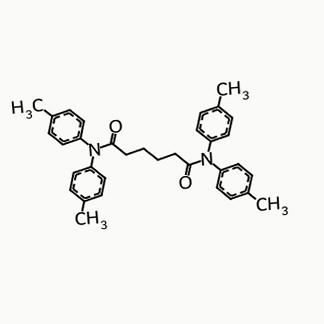 Cc1ccc(N(C(=O)CCCCC(=O)N(c2ccc(C)cc2)c2ccc(C)cc2)c2ccc(C)cc2)cc1